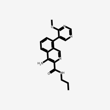 CCCNC(=O)c1ncc2c(-c3cncnc3OC)cccc2c1N